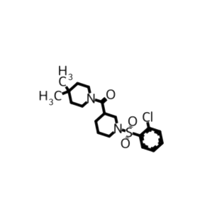 CC1(C)CCN(C(=O)C2CCCN(S(=O)(=O)c3ccccc3Cl)C2)CC1